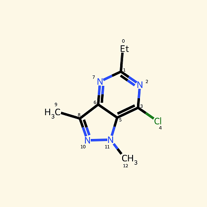 CCc1nc(Cl)c2c(n1)c(C)nn2C